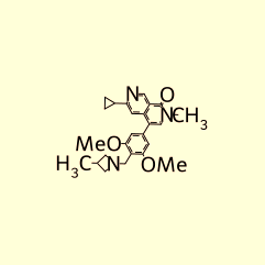 COc1cc(-c2cn(C)c(=O)c3cnc(C4CC4)cc23)cc(OC)c1CN1CC(C)C1